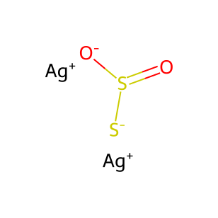 O=S([O-])[S-].[Ag+].[Ag+]